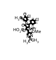 COc1nc(N(C)C)ncc1-c1c(OC(=O)O)c2c(n1C(C)C)C(c1ccc(Cl)cc1)N(c1cc(Cl)c(=O)n(C)c1)C2=O